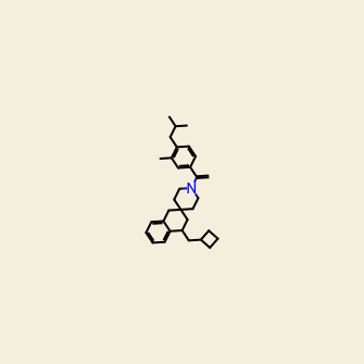 C=C(c1ccc(CC(C)C)c(C)c1)N1CCC2(CC1)Cc1ccccc1C(CC1CCC1)C2